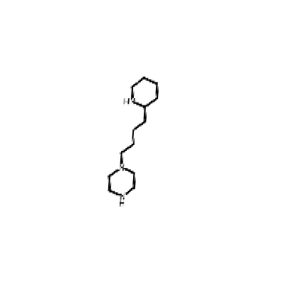 C1CCC(CCCCN2CCNCC2)NC1